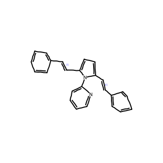 C(=C\c1ccc(/C=C/c2ccccc2)n1-c1ccccn1)/c1ccccc1